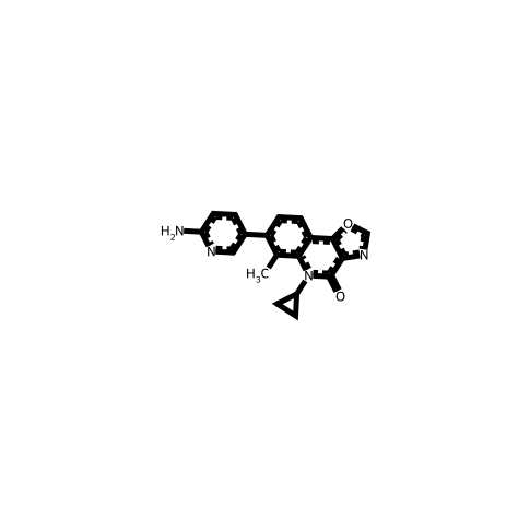 Cc1c(-c2ccc(N)nc2)ccc2c3ocnc3c(=O)n(C3CC3)c12